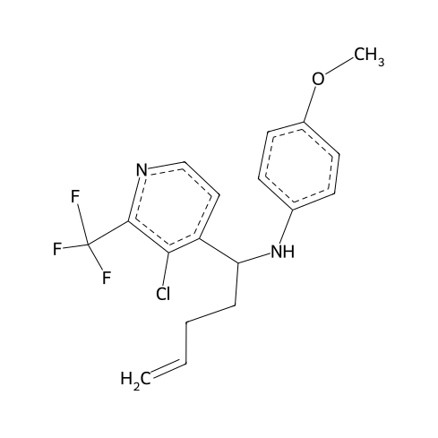 C=CCCC(Nc1ccc(OC)cc1)c1ccnc(C(F)(F)F)c1Cl